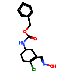 O=C(NC1CCC(Cl)=C(C=NO)C1)OCc1ccccc1